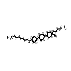 CCCCCCCCOc1ccc(-c2ccc(C3CCC(C#N)(CCCCC)CC3)cc2)cc1